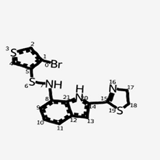 Brc1cscc1SNc1cccc2cc(C3=NCCS3)[nH]c12